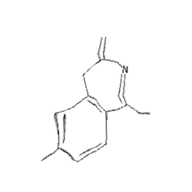 C=C1Cc2cc(C)ccc2C(C)=N1